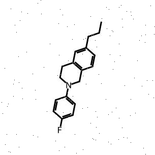 CCCc1ccc2c(c1)CCN(c1ccc(F)cc1)C2